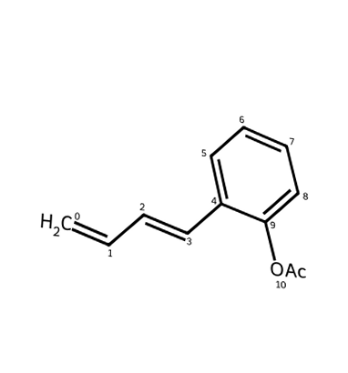 C=CC=Cc1ccccc1OC(C)=O